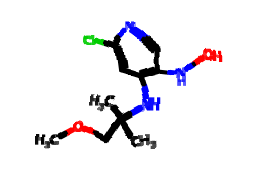 COCC(C)(C)Nc1cc(Cl)ncc1NO